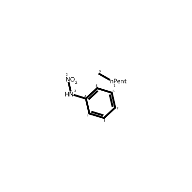 CCCCCC.O=[N+]([O-])Nc1ccccc1